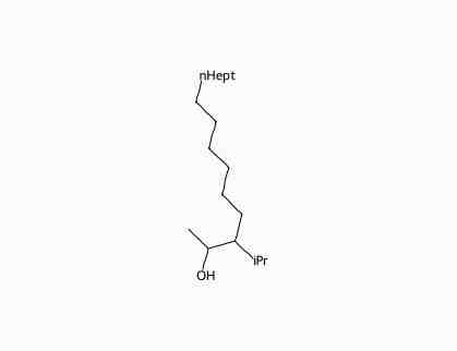 [CH2]C(C)C(CCCCCCCCCCCCC)C(C)O